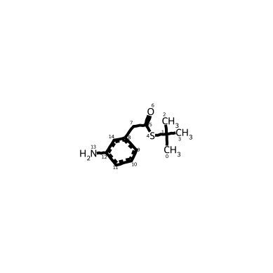 CC(C)(C)SC(=O)Cc1cccc(N)c1